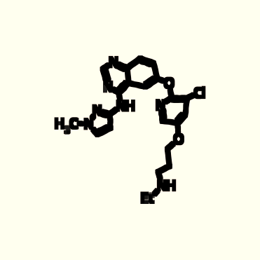 CCNCCCOc1cnc(Oc2ccc3ncnc(Nc4ccn(C)n4)c3c2)c(Cl)c1